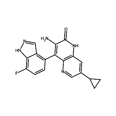 Nc1c(-c2ccc(F)c3[nH]ncc23)c2ncc(C3CC3)cc2[nH]c1=O